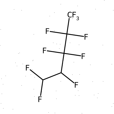 FC(F)C(F)C(F)(F)C(F)(F)C(F)(F)F